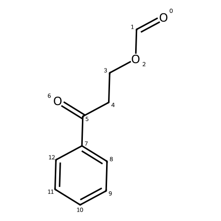 O=COCCC(=O)c1ccccc1